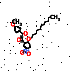 CCCCCCCCCCCOc1ccc([N+](=O)[O-])cc1[C@@H]1O[C@H]1C(=O)c1ccc(OC)cc1